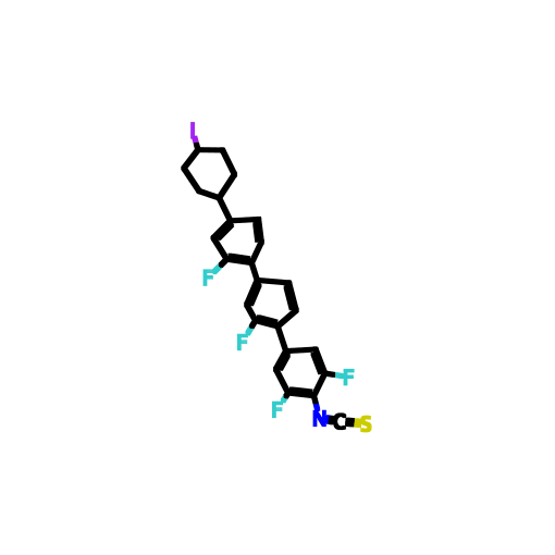 Fc1cc(-c2ccc(C3CCC(I)CC3)cc2F)ccc1-c1cc(F)c(N=C=S)c(F)c1